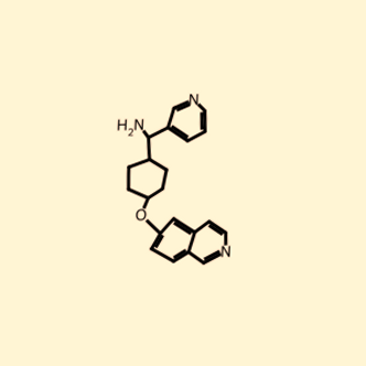 NC(c1cccnc1)C1CCC(Oc2ccc3cnccc3c2)CC1